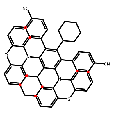 N#Cc1ccc(-c2c(C3CCCCC3)c(-c3ccc(C#N)cc3)c(N3c4ccccc4Sc4ccccc43)c(C3CCCCC3)c2N2c3ccccc3Oc3ccccc32)cc1